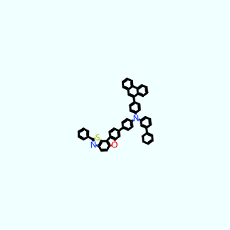 C1=CCCC(c2cccc(N(c3ccc(-c4ccc5c(c4)oc4ccc6nc(-c7ccccc7)sc6c45)cc3)c3ccc(-c4cc5ccccc5c5ccccc45)cc3)c2)=C1